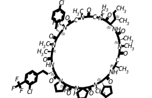 CC[C@H](C)[C@@H]1NC(=O)[C@H](C)N(C)C(=O)C[C@@H](C)NC(=O)[C@H](C2CCCC2)N(C)C(=O)C2(CCCC2)NC(=O)[C@@H]2CCCN2C(=O)[C@H](CCc2ccc(C(F)(F)F)c(Cl)c2)NC(=O)[C@@H](C)N(C)C(=O)[C@H](Cc2ccc(Cl)cc2)N(C)C(=O)CN(C)C(=O)CN(C)C1=O